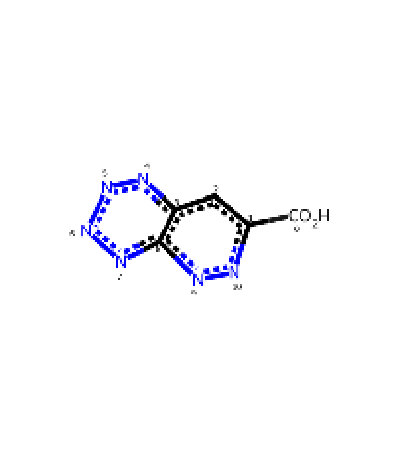 O=C(O)c1cc2nnnnc2nn1